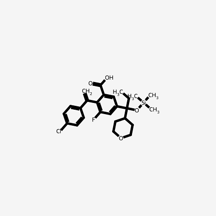 C=C(c1ccc(Cl)cc1)c1c(F)cc(C(CC)(O[Si](C)(C)C)C2CCOCC2)cc1C(=O)O